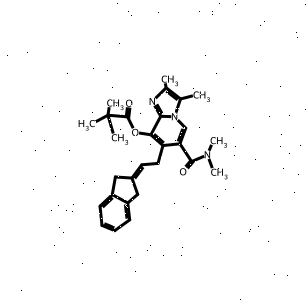 Cc1nc2c(OC(=O)C(C)(C)C)c(CC=C3Cc4ccccc4C3)c(C(=O)N(C)C)cn2c1C